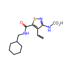 C=Cc1c(NC(=O)O)nsc1C(=O)NCC1CCCCC1